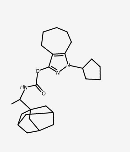 CC(NC(=O)Oc1nn(C2CCCC2)c2c1CCCCC2)C12CC3CC(CC(C3)C1)C2